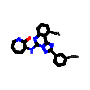 COc1cccc(-c2nc3c4c(C)cccc4nc(Nc4ccccnc4=O)n3n2)c1